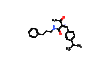 CC(=O)/C(=C/c1ccc(C(C)C)cc1)C(=O)NCCCc1ccccc1